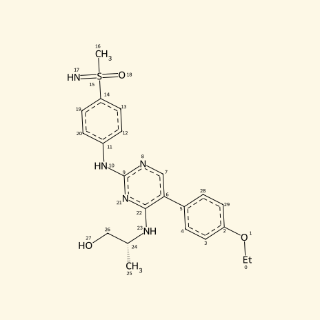 CCOc1ccc(-c2cnc(Nc3ccc(S(C)(=N)=O)cc3)nc2N[C@H](C)CO)cc1